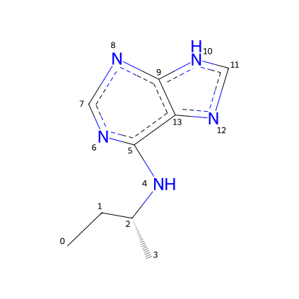 CC[C@@H](C)Nc1ncnc2[nH]cnc12